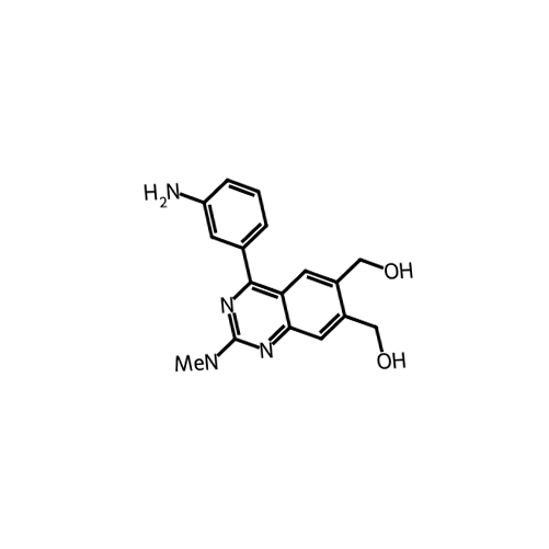 CNc1nc(-c2cccc(N)c2)c2cc(CO)c(CO)cc2n1